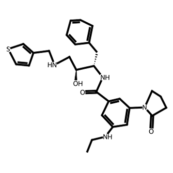 CCNc1cc(C(=O)N[C@@H](Cc2ccccc2)[C@@H](O)CNCc2ccsc2)cc(N2CCCC2=O)c1